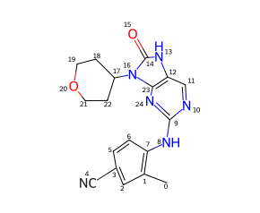 Cc1cc(C#N)ccc1Nc1ncc2[nH]c(=O)n(C3CCOCC3)c2n1